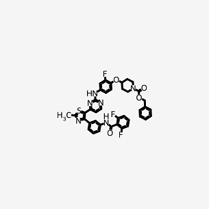 Cc1nc(-c2cccc(NC(=O)c3c(F)cccc3F)c2)c(-c2ccnc(Nc3ccc(OC4CCN(C(=O)OCc5ccccc5)CC4)c(F)c3)n2)s1